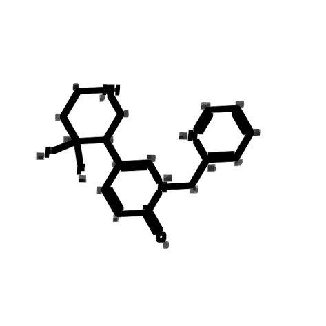 O=c1ccc(C2CNCCC2(F)F)cn1Cc1ccccn1